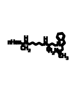 C=C(CCCCCC)NCCCCCNC(=O)CCn1c(CN(C)N)cc2ccccc21